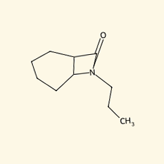 CCCN1C(=O)C2CCCCC21